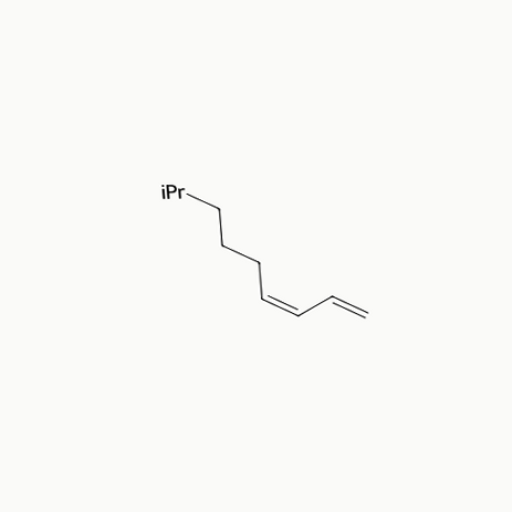 C=C/C=C\CCCC(C)C